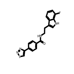 O=C(NCCc1c[nH]c2c(F)cccc12)c1ccc(-c2csnn2)cc1